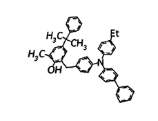 CCc1ccc(N(c2ccc(Cc3cc(C(C)(C)c4ccccc4)cc(C)c3O)cc2)c2ccc(-c3ccccc3)cc2)cc1